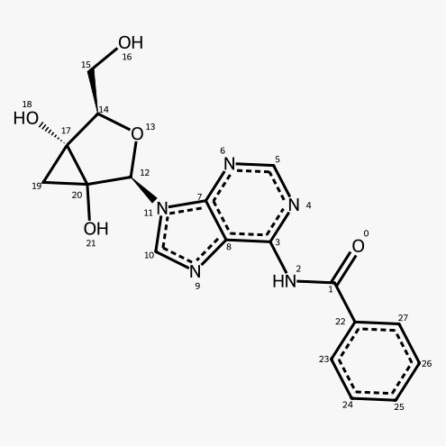 O=C(Nc1ncnc2c1ncn2[C@@H]1O[C@H](CO)[C@]2(O)CC12O)c1ccccc1